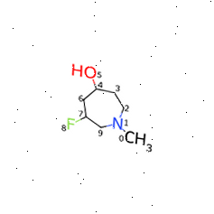 CN1CCC(O)CC(F)C1